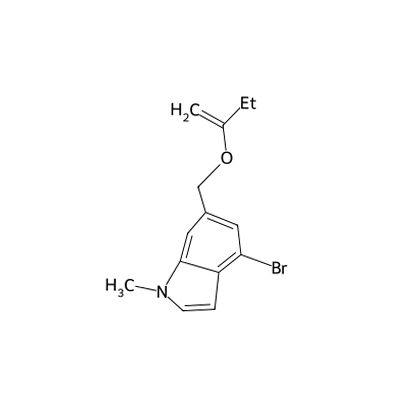 C=C(CC)OCc1cc(Br)c2ccn(C)c2c1